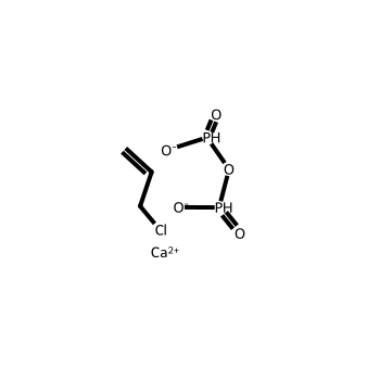 C=CCCl.O=[PH]([O-])O[PH](=O)[O-].[Ca+2]